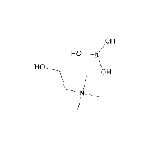 C[N+](C)(C)CCO.OB(O)O